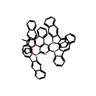 Cc1cc(-c2ccccc2-c2c(-n3c4ccccc4c4cc5ccccc5cc43)c(-n3c4ccccc4c4cc5ccccc5cc43)nc(-n3c4ccccc4c4cc5ccccc5cc43)c2-n2c3ccccc3c3cc4ccccc4cc32)cc(C)n1